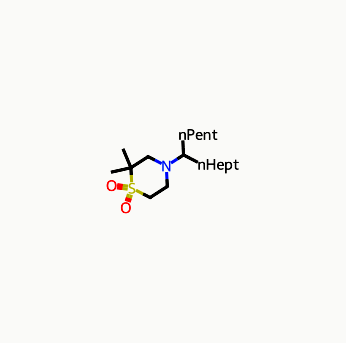 CCCCCCCC(CCCCC)N1CCS(=O)(=O)C(C)(C)C1